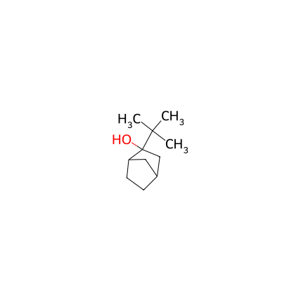 CC(C)(C)C1(O)CC2CCC1C2